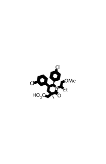 CCC(COC)N1C(=O)[C@@](C)(CC(=O)O)CC(c2cccc(Cl)c2)[C@H]1c1ccc(Cl)cc1